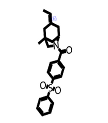 C/C=C1/CC2CC(C)(C1)CN2C(=O)c1ccc(S(=O)(=O)c2ccccc2)cc1